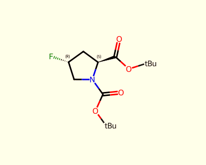 CC(C)(C)OC(=O)[C@@H]1C[C@@H](F)CN1C(=O)OC(C)(C)C